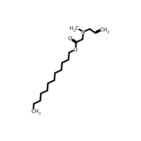 C=CCN(C)CC(=O)OCCCCCCCCCCCC